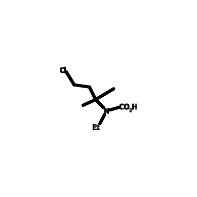 CCN(C(=O)O)C(C)(C)CCCl